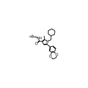 CCCCNC(=O)c1cc(-c2ccc3c(c2)OCCO3)n(CC2CCCCC2)c1C